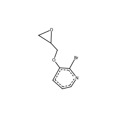 Brc1ncccc1OCC1CO1